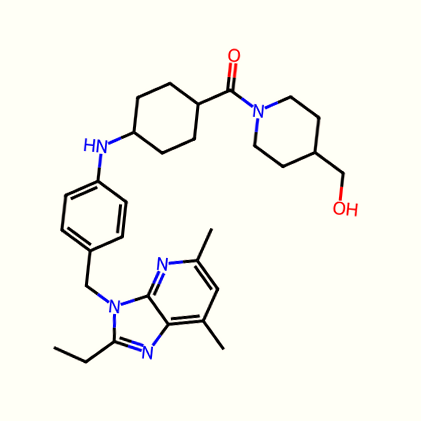 CCc1nc2c(C)cc(C)nc2n1Cc1ccc(NC2CCC(C(=O)N3CCC(CO)CC3)CC2)cc1